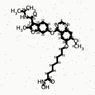 COc1cc2ncnc(Oc3ccc4c(C(=O)NC(C)C)c(C)oc4c3)c2cc1OCCCCCCCC(=O)NO